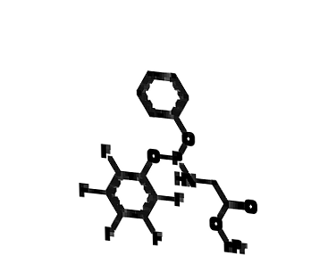 CCCOC(=O)CNP(Oc1ccccc1)Oc1c(F)c(F)c(F)c(F)c1F